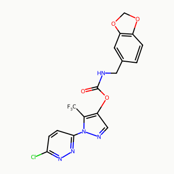 O=C(NCc1ccc2c(c1)OCO2)Oc1cnn(-c2ccc(Cl)nn2)c1C(F)(F)F